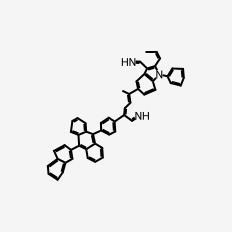 C/C=C\c1c(C=N)c2cc(/C(C)=C/C=C(\C=N)c3ccc(-c4c5ccccc5c(-c5ccc6ccccc6c5)c5ccccc45)cc3)ccc2n1-c1ccccc1